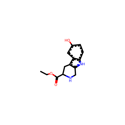 CCOC(=O)C1Cc2c([nH]c3ccc(O)cc23)CN1